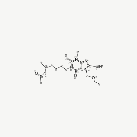 CCOCn1c(C#N)nc2c1c(=O)n(CCCCC(C)OC(C)=O)c(=O)n2C